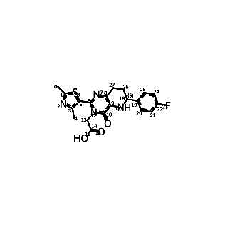 Cc1nc(C)c(-c2nc3c(c(=O)n2CC(=O)O)N[C@H](c2ccc(F)cc2)CC3)s1